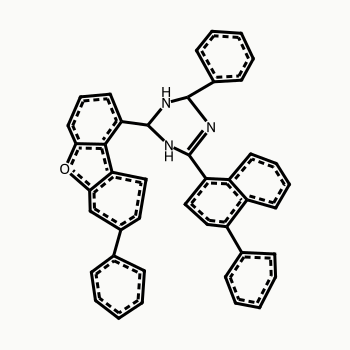 c1ccc(-c2ccc3c(c2)oc2cccc(C4NC(c5ccc(-c6ccccc6)c6ccccc56)=NC(c5ccccc5)N4)c23)cc1